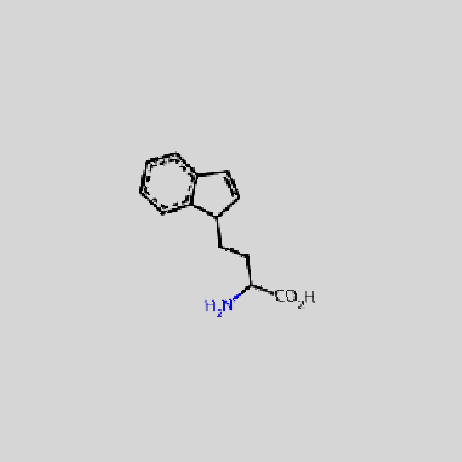 NC(CCC1C=Cc2ccccc21)C(=O)O